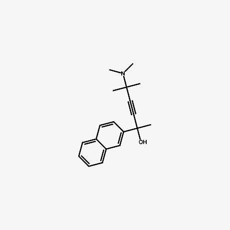 CN(C)C(C)(C)C#CC(C)(O)c1ccc2ccccc2c1